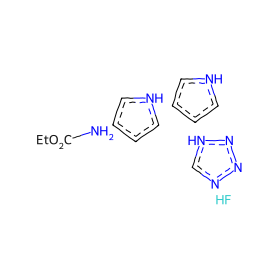 CCOC(N)=O.F.c1cc[nH]c1.c1cc[nH]c1.c1nnn[nH]1